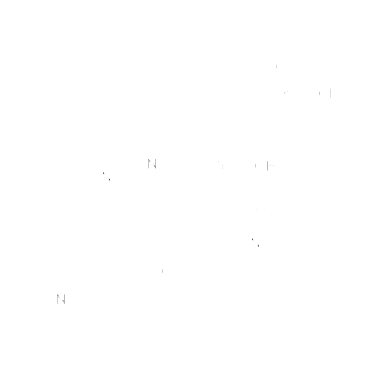 C/N=c1/ccc2c(-c3nccn3CCCCCC(=O)O)c3cc(S(=O)(=O)O)c(NC)cc3oc-2c1